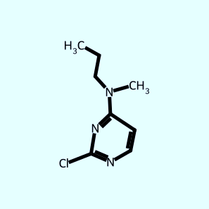 CCCN(C)c1ccnc(Cl)n1